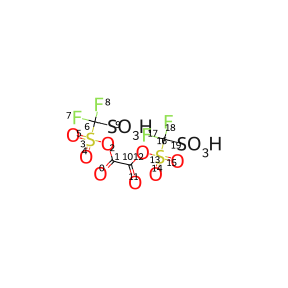 O=C(OS(=O)(=O)C(F)(F)S(=O)(=O)O)C(=O)OS(=O)(=O)C(F)(F)S(=O)(=O)O